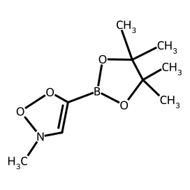 CN1C=C(B2OC(C)(C)C(C)(C)O2)OO1